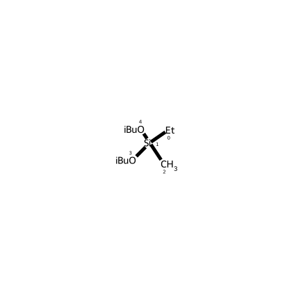 CC[Si](C)(OCC(C)C)OCC(C)C